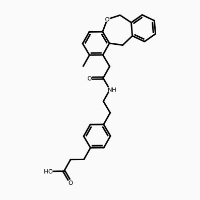 Cc1ccc2c(c1CC(=O)NCCc1ccc(CCC(=O)O)cc1)Cc1ccccc1CO2